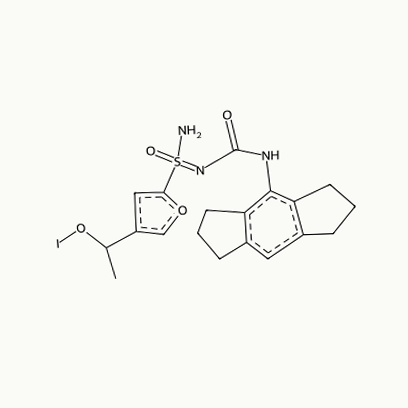 CC(OI)c1coc(S(N)(=O)=NC(=O)Nc2c3c(cc4c2CCC4)CCC3)c1